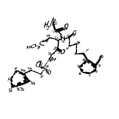 Cc1ccccc1CCCCC(=O)N(C(N)=O)C(CC(=O)O)C(=O)CNS(=O)(=O)CCc1ccccc1